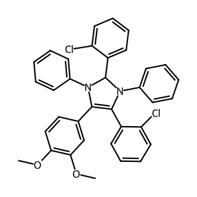 COc1ccc(C2=C(c3ccccc3Cl)N(c3ccccc3)C(c3ccccc3Cl)N2c2ccccc2)cc1OC